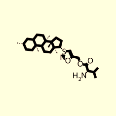 CC(C)[C@H](N)C(=O)OCC1=CS([C@H]2CC[C@@]3(C)[C@]4(C)CCC5C[C@@H](C)CC[C@]5(C)C4CC[C@]23C)=NO1